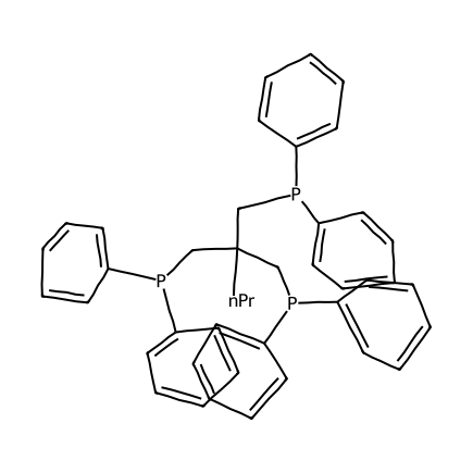 CCCC(CP(c1ccccc1)c1ccccc1)(CP(c1ccccc1)c1ccccc1)CP(c1ccccc1)c1ccccc1